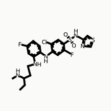 CCC(CCNc1cc(F)ccc1Nc1cc(F)c(S(=O)(=O)Nc2cscn2)cc1Cl)NC